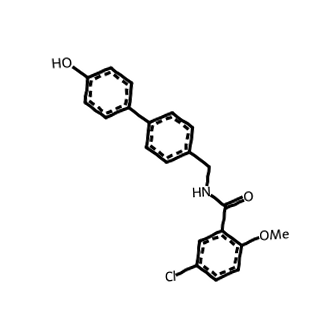 COc1ccc(Cl)cc1C(=O)NCc1ccc(-c2ccc(O)cc2)cc1